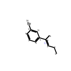 CC/C=C(\C)c1cccc(Br)c1